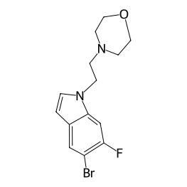 Fc1cc2c(ccn2CCN2CCOCC2)cc1Br